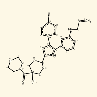 C=CCNc1nccc(-c2[nH]c(C3OCC(C)(C(=O)N4CCOCC4)CO3)nc2-c2ccc(F)cc2)n1